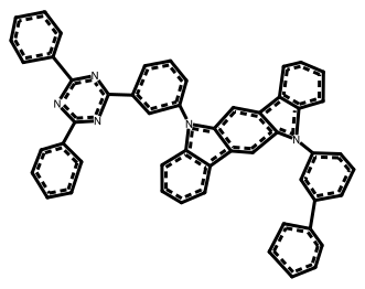 c1ccc(-c2cccc(-n3c4ccccc4c4cc5c(cc43)c3ccccc3n5-c3cccc(-c4nc(-c5ccccc5)nc(-c5ccccc5)n4)c3)c2)cc1